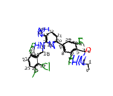 CCNC(=O)c1c(F)cc(-c2ccc(N=N)c(NCc3c(F)ccc(F)c3Cl)n2)cc1F